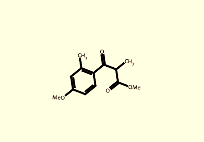 COC(=O)C(C)C(=O)c1ccc(OC)cc1C